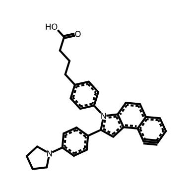 O=C(O)CCCc1ccc(-n2c(-c3ccc(N4CCCC4)cc3)cc3c4c#cccc4ccc32)cc1